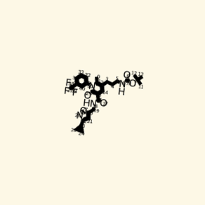 Cc1c(CCCNC(=O)OC(C)(C)C)cc(C(=O)NCc2cc(C3CC3)no2)c(=O)n1-c1cccc(C(F)(F)F)c1